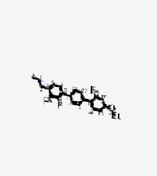 C/C=C/c1ccc(-c2ccc(-c3ccc(OCC)cc3F)cc2)c(F)c1F